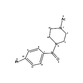 CC(=O)N1CCN(C(=O)c2ccc(C(C)C)cc2)CC1